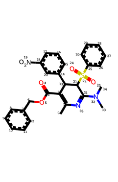 CC1=C(C(=O)OCc2ccccc2)C(c2cccc([N+](=O)[O-])c2)C(S(=O)(=O)c2ccccc2)C(N(C)C)=N1